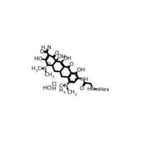 CCCCCCNCC(=O)Nc1cc(N(C)C)c2c(c1O)C(=O)C1=C(O)C3(O)C(=O)C(C(N)=O)=C(O)[C@@H](N(C)C)C3CC1C2.Cl.Cl